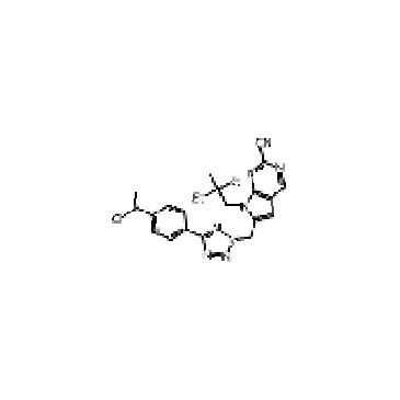 CCC(C)(CC)Cn1c(Cn2nnc(-c3ccc(C(C)Cl)cc3)n2)cc2cnc(C#N)nc21